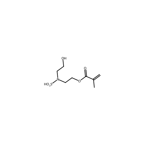 C=C(C)C(=O)OCCN(CCO)S(=O)(=O)O